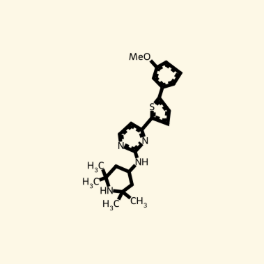 COc1cccc(-c2ccc(-c3ccnc(NC4CC(C)(C)NC(C)(C)C4)n3)s2)c1